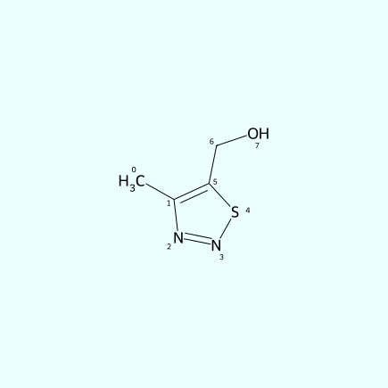 Cc1nnsc1CO